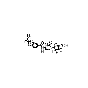 CC1(C)Oc2ccc(C(=O)Nc3ccn(C4O[C@H](CO)[C@@H](O)C4(F)F)c(=O)n3)cc2O1